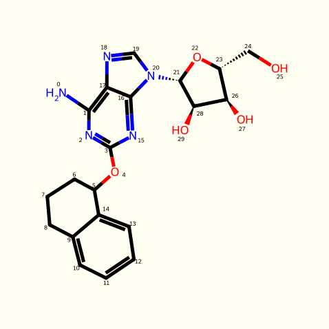 Nc1nc(OC2CCCc3ccccc32)nc2c1ncn2[C@@H]1O[C@H](CO)[C@@H](O)[C@H]1O